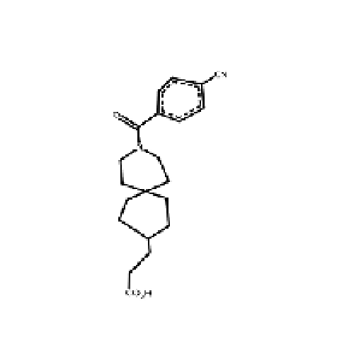 N#Cc1ccc(C(=O)N2CCC3(CCC(CCC(=O)O)CC3)CC2)cc1